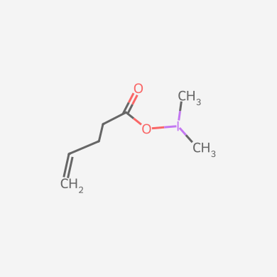 C=CCCC(=O)OI(C)C